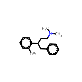 CCCc1ccccc1C(CCN(C)C)Cc1ccccc1